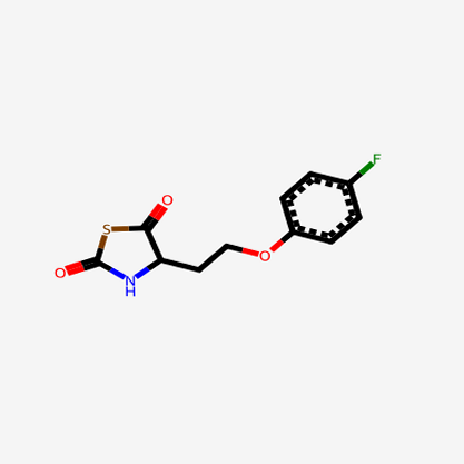 O=C1NC(CCOc2ccc(F)cc2)C(=O)S1